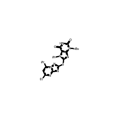 CCCCn1c(=O)[nH]c(=O)c2c1nc(Sc1nc3nc(CC)cc(C(C)C)n3n1)n2C(C)C